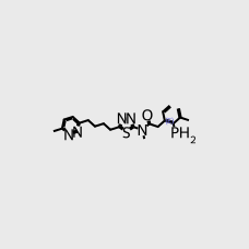 C=C/C(CC(=O)N(C)c1nnc(CCCCc2ccc(C)nn2)s1)=C(/P)C(=C)C